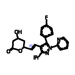 CC(C)c1nn(-c2ccccn2)c(-c2ccc(F)cc2)c1/C=C/C1CC(O)CC(=O)O1